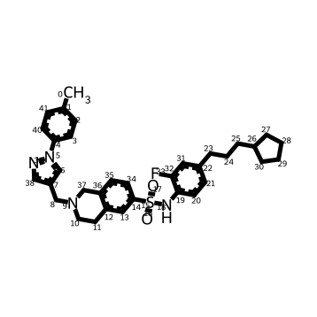 Cc1ccc(-n2cc(CN3CCc4cc(S(=O)(=O)Nc5ccc(CCCC6CCCC6)cc5F)ccc4C3)cn2)cc1